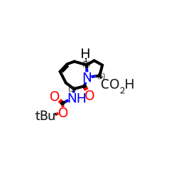 CC(C)(C)OC(=O)N[C@H]1CC=CC[C@H]2CC[C@@H](C(=O)O)N2C1=O